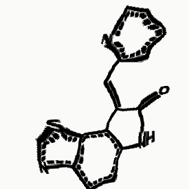 O=C1Nc2ccc3ncsc3c2/C1=C/c1ccccn1